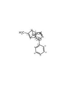 CC1=C2c3c(ccn3-c3ccccc3)C1[Si]2(C)C